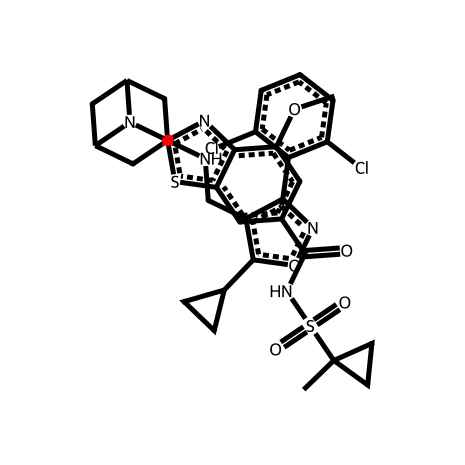 COc1cc(C(=O)NS(=O)(=O)C2(C)CC2)cc2sc(N3C4CC(NCc5c(-c6c(Cl)cccc6Cl)noc5C5CC5)CC3C4)nc12